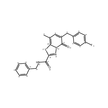 Cc1cc(Cc2ccc(F)cc2)c(=O)n2nc(C(=O)NCc3ccccc3)sc12